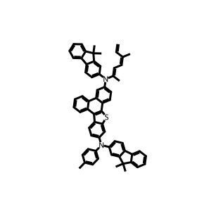 C=C/C(C)=C\C=C(/C)N(c1ccc2c(c1)C(C)(C)c1ccccc1-2)c1ccc2c(c1)c1ccccc1c1c3ccc(N(c4ccc(C)cc4)c4ccc5c(c4)C(C)(C)c4ccccc4-5)cc3sc21